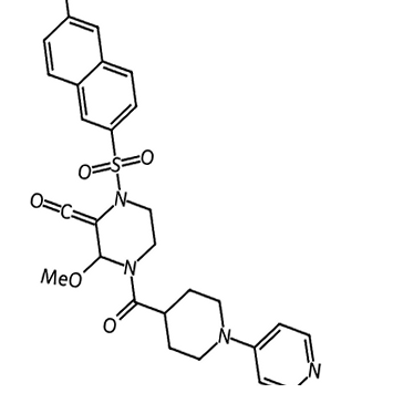 COC1C(=C=O)N(S(=O)(=O)c2ccc3cc(Cl)ccc3c2)CCN1C(=O)C1CCN(c2ccncc2)CC1